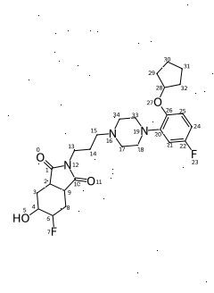 O=C1C2CC(O)C(F)CC2C(=O)N1CCCN1CCN(c2cc(F)ccc2OC2CCCC2)CC1